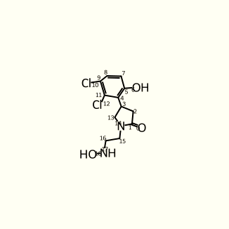 O=C1CC(c2c(O)ccc(Cl)c2Cl)CN1CCNO